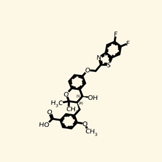 COc1ccc(C(=O)O)cc1C[C@@H]1[C@H](O)c2cc(OCc3nc4cc(F)c(F)cc4s3)ccc2OC1(C)C